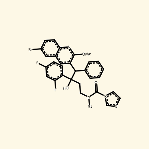 CCN(CCC(O)(c1ccc(F)cc1F)C(c1ccccc1)c1cc2cc(Br)ccc2nc1OC)C(=O)n1ccnc1